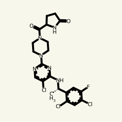 C[C@H](Nc1nc(N2CCN(C(=O)C3CCC(=O)N3)CC2)ncc1Cl)c1cc(F)c(Cl)cc1Cl